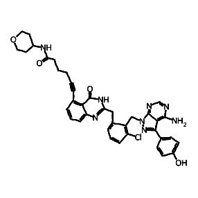 Nc1ncnc2c1c(-c1ccc(O)cc1)nn2Cc1c(Cl)cccc1Cc1nc2cccc(C#CCCCC(=O)NC3CCOCC3)c2c(=O)[nH]1